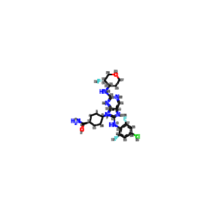 NC(=O)[C@H]1CC[C@@H](n2c(Nc3c(F)cc(Cl)cc3F)nc3cnc(N[C@@H]4CCOC[C@H]4F)nc32)CC1